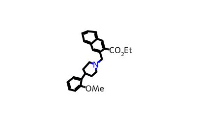 CCOC(=O)c1cc2ccccc2cc1CN1CCC(c2ccccc2OC)CC1